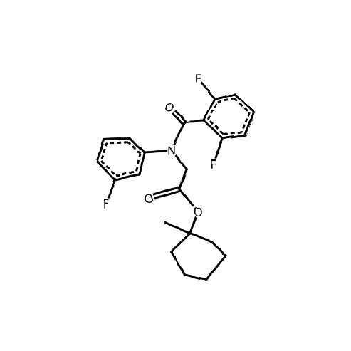 CC1(OC(=O)CN(C(=O)c2c(F)cccc2F)c2cccc(F)c2)CCCCC1